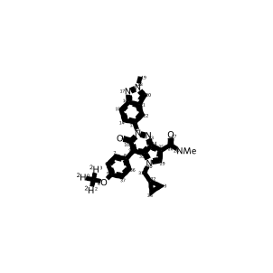 [2H]C([2H])([2H])Oc1ccc(-c2c(=O)n(-c3ccc4nn(C)cc4c3)nc3c(C(=O)NC)cn(CC4CC4)c23)cc1